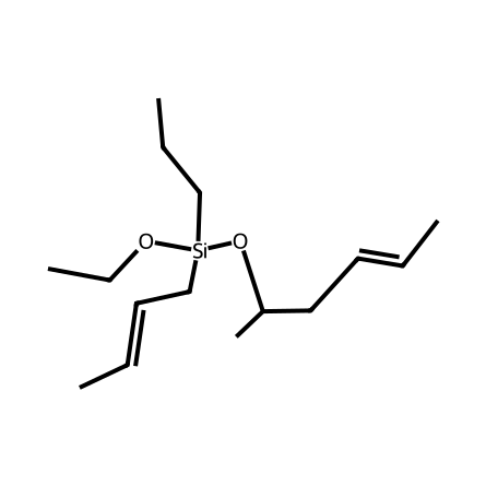 CC=CCC(C)O[Si](CC=CC)(CCC)OCC